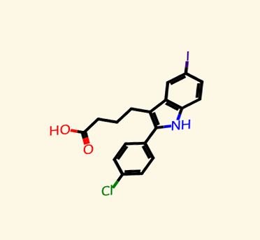 O=C(O)CCCc1c(-c2ccc(Cl)cc2)[nH]c2ccc(I)cc12